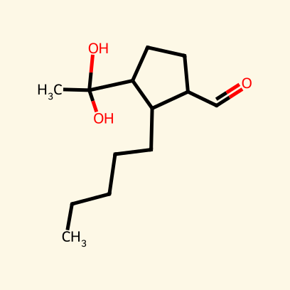 CCCCCC1C(C=O)CCC1C(C)(O)O